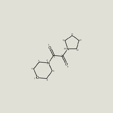 O=C(C(=O)N1CCOCC1)N1CCCC1